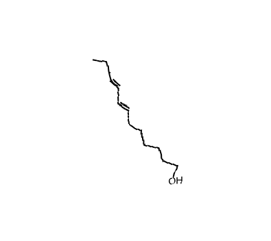 CCC=CC=CCCCCCCO